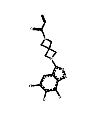 C=CC(=O)N1CC2(C1)CN(c1snc3c(F)c(Br)c(Cl)cc13)C2